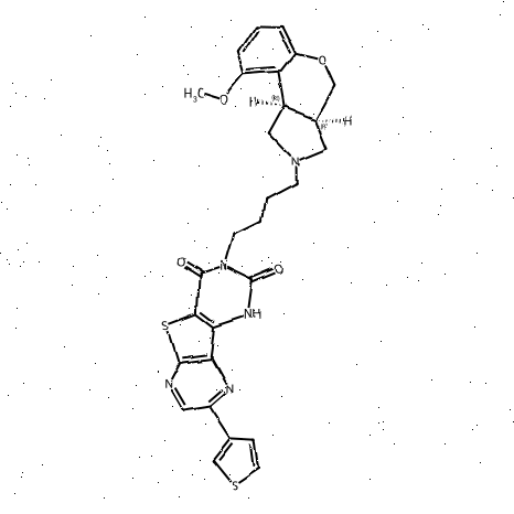 COc1cccc2c1[C@@H]1CN(CCCCn3c(=O)[nH]c4c(sc5ncc(-c6ccsc6)nc54)c3=O)C[C@@H]1CO2